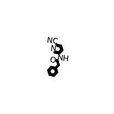 N#Cc1ccc(NC(=O)Cc2ccccc2)cn1